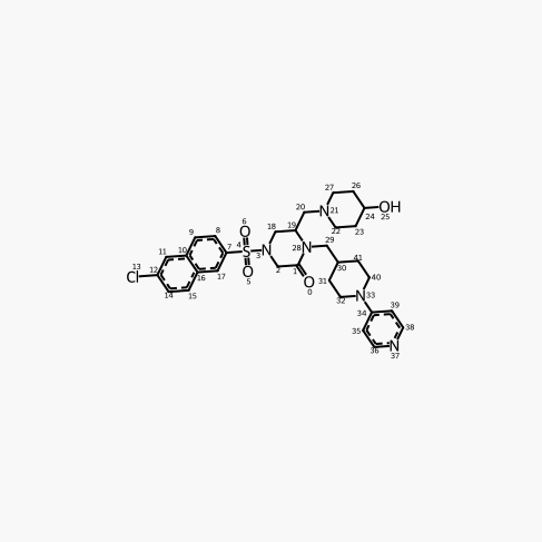 O=C1CN(S(=O)(=O)c2ccc3cc(Cl)ccc3c2)CC(CN2CCC(O)CC2)N1CC1CCN(c2ccncc2)CC1